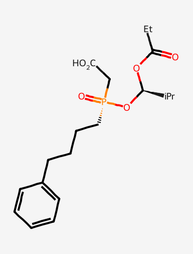 CCC(=O)O[C@H](O[P@](=O)(CCCCc1ccccc1)CC(=O)O)C(C)C